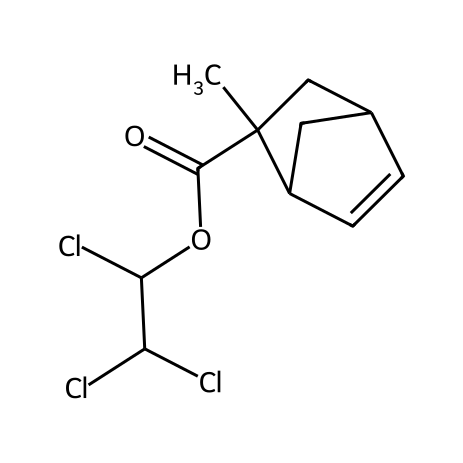 CC1(C(=O)OC(Cl)C(Cl)Cl)CC2C=CC1C2